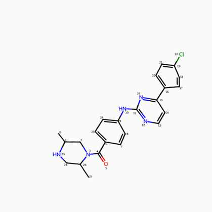 CC1CN(C(=O)c2ccc(Nc3nccc(-c4ccc(Cl)cc4)n3)cc2)C(C)CN1